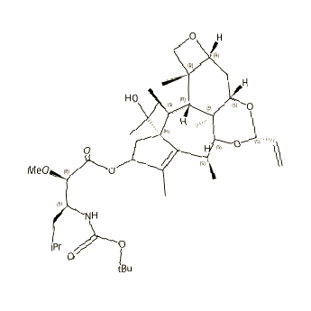 C=C[C@H]1O[C@H]2C[C@H]3OC[C@@]3(C)[C@H]3[C@H](C)[C@]4(C(C)(C)O)CC(OC(=O)[C@H](OC)[C@H](CC(C)C)NC(=O)OC(C)(C)C)C(C)=C4[C@H](C)[C@H](O1)[C@]23C